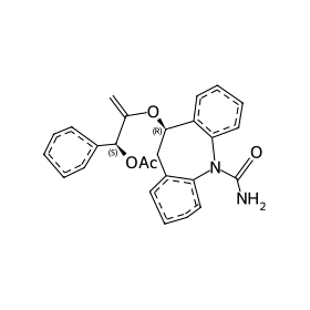 C=C(O[C@@H]1Cc2ccccc2N(C(N)=O)c2ccccc21)[C@@H](OC(C)=O)c1ccccc1